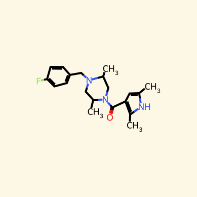 Cc1cc(C(=O)N2CC(C)N(Cc3ccc(F)cc3)CC2C)c(C)[nH]1